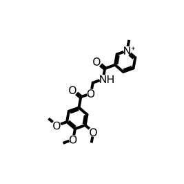 COc1cc(C(=O)OCNC(=O)c2ccc[n+](C)c2)cc(OC)c1OC